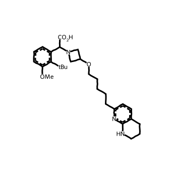 COc1cccc(C(C(=O)O)N2CC(OCCCCCc3ccc4c(n3)NCCC4)C2)c1C(C)(C)C